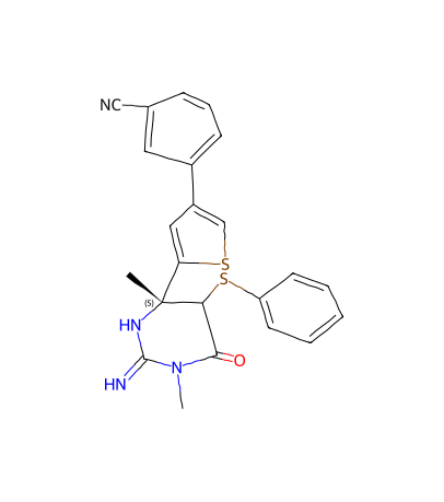 CN1C(=N)N[C@](C)(c2cc(-c3cccc(C#N)c3)cs2)C(Sc2ccccc2)C1=O